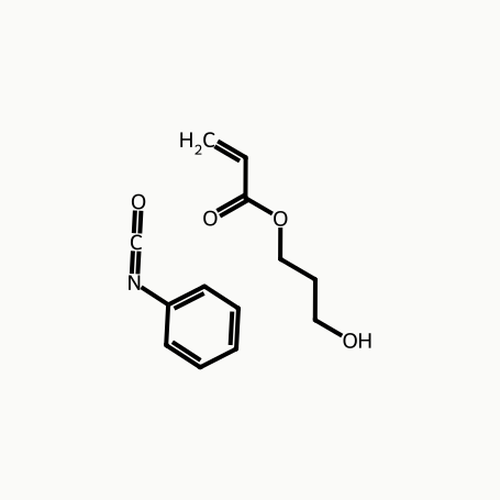 C=CC(=O)OCCCO.O=C=Nc1ccccc1